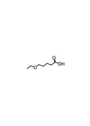 CCOCCCCC(=O)O